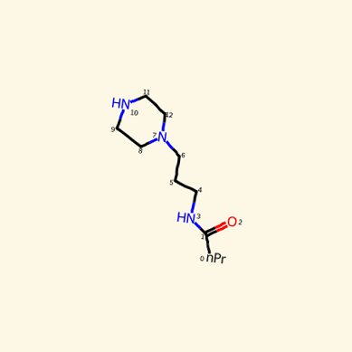 CCCC(=O)NCCCN1CCNCC1